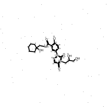 O=C(NCC1(O)CCCCC1)c1cc(-n2ncc(=O)n(CC(O)CO)c2=O)ccc1Cl